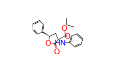 CC(C)OC(=O)[C@]1(Nc2ccccc2)C[C@H](c2ccccc2)OC1=O